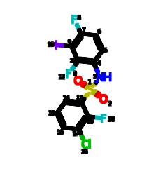 O=S(=O)(Nc1ccc(F)c(I)c1F)c1cccc(Cl)c1F